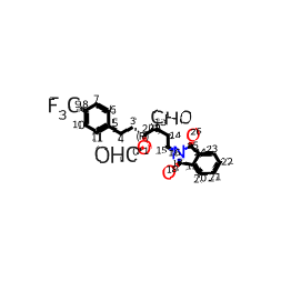 O=CO[C@H](CCc1ccc(C(F)(F)F)cc1)[C@H](C=O)CCN1C(=O)c2ccccc2C1=O